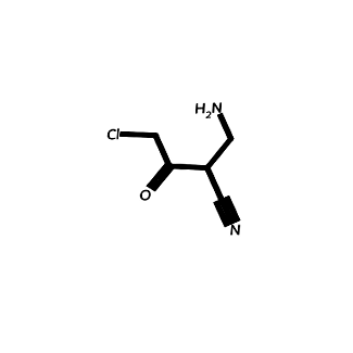 N#CC(CN)C(=O)CCl